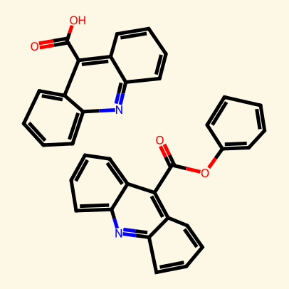 O=C(O)c1c2ccccc2nc2ccccc12.O=C(Oc1ccccc1)c1c2ccccc2nc2ccccc12